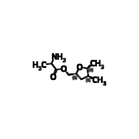 CC(N)C(=O)OC[C@@H]1C[C@H](C)[C@H](C)O1